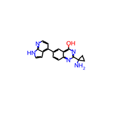 NC1(c2nc(O)c3cc(-c4ccnc5[nH]ccc45)ccc3n2)CC1